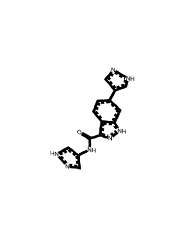 O=C(Nc1cn[nH]c1)c1n[nH]c2cc(-c3cn[nH]c3)ccc12